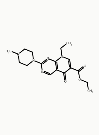 CCOC(=O)c1cn(CC)c2nc(N3CCN(C)CC3)ncc2c1=O